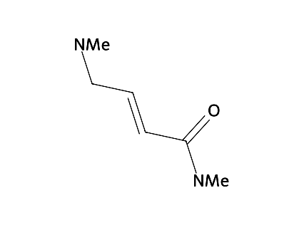 CNC/C=C/C(=O)NC